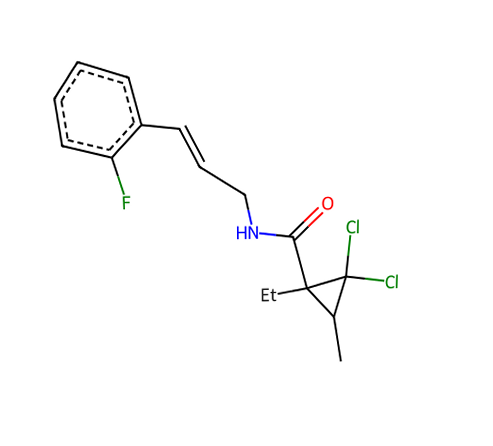 CCC1(C(=O)NCC=Cc2ccccc2F)C(C)C1(Cl)Cl